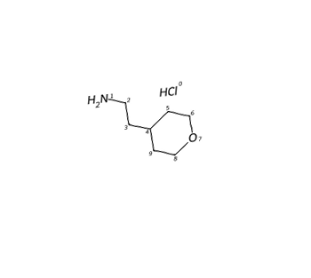 Cl.NCCC1CCOCC1